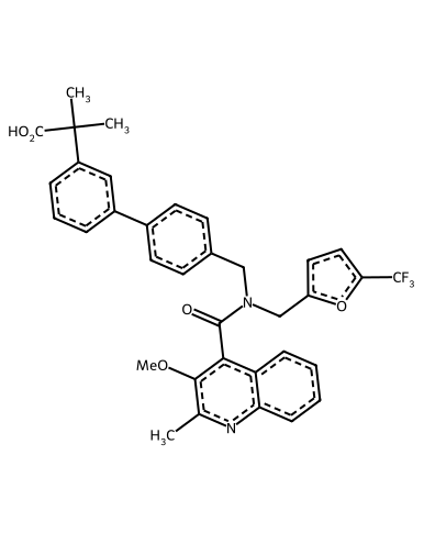 COc1c(C)nc2ccccc2c1C(=O)N(Cc1ccc(-c2cccc(C(C)(C)C(=O)O)c2)cc1)Cc1ccc(C(F)(F)F)o1